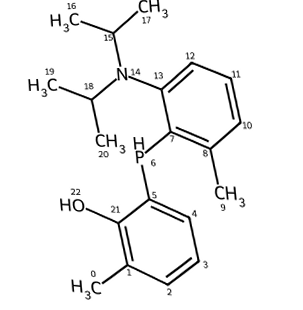 Cc1cccc(Pc2c(C)cccc2N(C(C)C)C(C)C)c1O